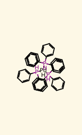 c1ccc([PH](c2ccccc2)(c2ccccc2)[PdH]([PH](c2ccccc2)(c2ccccc2)c2ccccc2)[PH](c2ccccc2)(c2ccccc2)c2ccccc2)cc1